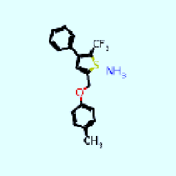 Cc1ccc(OCc2cc(-c3ccccc3)c(C(F)(F)F)s2)cc1.N